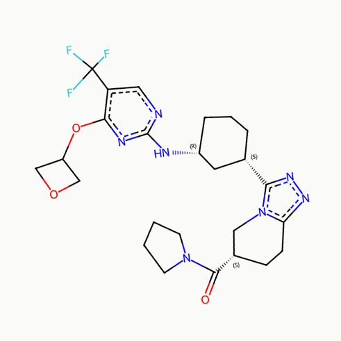 O=C([C@H]1CCc2nnc([C@H]3CCC[C@@H](Nc4ncc(C(F)(F)F)c(OC5COC5)n4)C3)n2C1)N1CCCC1